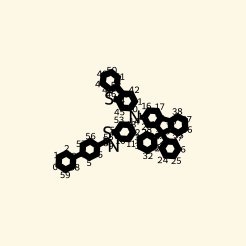 c1ccc(-c2ccc(-c3nc4ccc(N(c5ccc6c(c5)C(c5ccccc5)(c5ccccc5)c5ccccc5-6)c5ccc6c(c5)sc5ccccc56)cc4s3)cc2)cc1